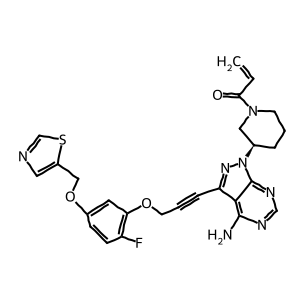 C=CC(=O)N1CCC[C@@H](n2nc(C#CCOc3cc(OCc4cncs4)ccc3F)c3c(N)ncnc32)C1